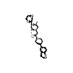 C[C@@H]1CN(c2cnccn2)[C@@H](C)CN1CC(=O)N1CC=C(c2ccc3sccc3c2)CC1